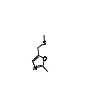 CSCc1cnc(C)o1